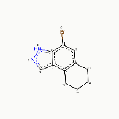 Brc1cc2c(c3cn[nH]c13)CCCC2